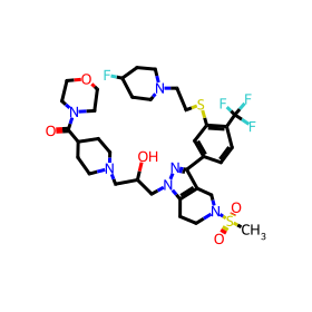 CS(=O)(=O)N1CCc2c(c(-c3ccc(C(F)(F)F)c(SCCN4CCC(F)CC4)c3)nn2CC(O)CN2CCC(C(=O)N3CCOCC3)CC2)C1